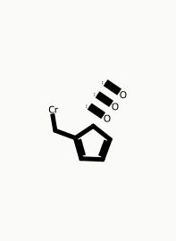 [C]=O.[C]=O.[C]=O.[Cr][CH2]C1=CC=CC1